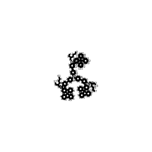 CCCCC(CC)Cn1c2ccc(-c3ccc(N(c4ccc(-c5ccc6c(c5)c5cc(C7(c8ccccc8)c8ccccc8-c8ccccc87)ccc5n6CC(CC)CCCC)cc4)c4ccc(-c5ccc6c(c5)c5cc(C7(c8ccccc8)c8ccccc8-c8ccccc87)ccc5n6CC(CC)CCCC)cc4)cc3)cc2c2cc(C3(c4ccccc4)c4ccccc4-c4ccccc43)ccc21